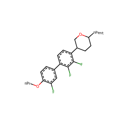 CCCCCC1CCC(c2ccc(-c3ccc(OCCC)c(F)c3)c(F)c2F)CO1